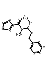 O=C(c1c[nH]cn1)N(O)[C@H](CO)CCc1ccccc1